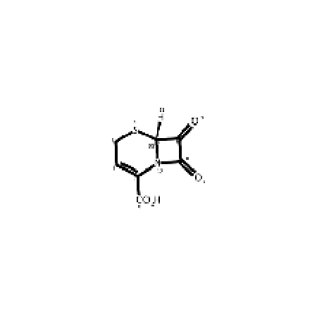 O=C(O)C1=CCS[C@@H]2C(=O)C(=O)N12